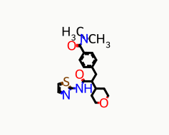 CN(C)C(=O)c1ccc(CC(C(=O)Nc2nccs2)C2CCOCC2)cc1